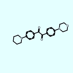 O=C(C(=O)c1ccc(N2CCOCC2)cc1)c1ccc(N2CCCCC2)cc1